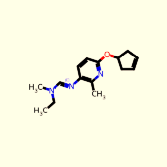 CCN(C)/C=N/c1ccc(OC2CC=CC2)nc1C